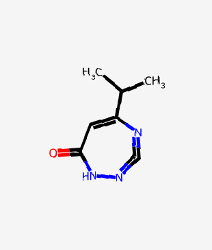 CC(C)C1=CC(=O)NN=C=N1